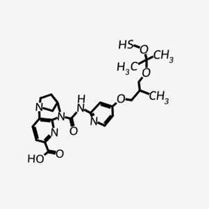 CC(COc1ccnc(NC(=O)N2c3nc(C(=O)O)ccc3N3CCC2C3)c1)COC(C)(C)OS